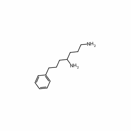 NCCCC(N)CCCc1ccccc1